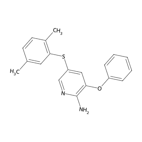 Cc1ccc(C)c(Sc2cnc(N)c(Oc3ccccc3)c2)c1